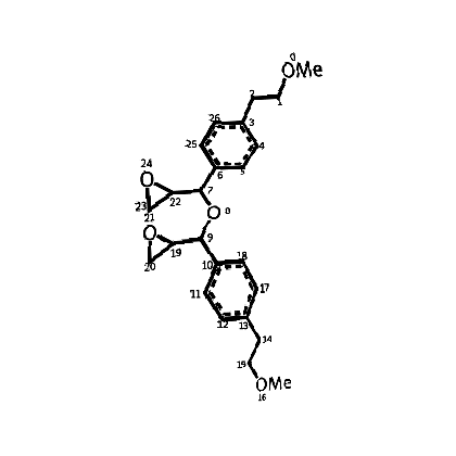 COCCc1ccc(C(OC(c2ccc(CCOC)cc2)C2CO2)C2CO2)cc1